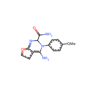 COc1ccc(N2C(N)=c3ccoc3=NC2C(N)=O)cc1